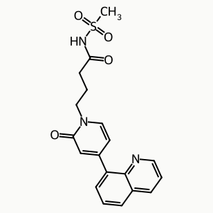 CS(=O)(=O)NC(=O)CCCn1ccc(-c2cccc3cccnc23)cc1=O